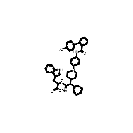 COC(=O)C(Cc1c[nH]c2ccccc12)NC(=O)C(c1ccccc1)C1CCN(c2ccc(NC(=O)c3ccccc3-c3ccc(C(F)(F)F)cc3)cc2)CC1